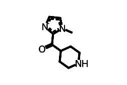 Cn1ccnc1C(=O)C1CCNCC1